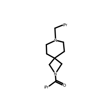 CC(C)CN1CCC2(CC1)CN(C(=O)C(C)C)C2